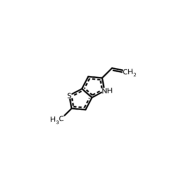 C=Cc1cc2sc(C)cc2[nH]1